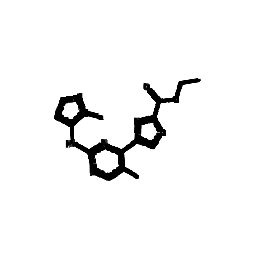 CCOC(=O)c1nc(-c2nc(Nc3ccnn3C)ncc2C)co1